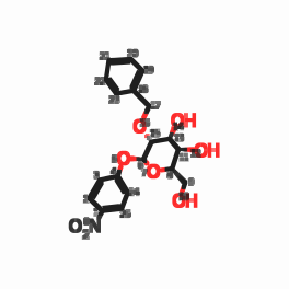 O=[N+]([O-])c1ccc(O[C@@H]2O[C@H](CO)[C@H](O)[C@H](O)[C@H]2OCc2ccccc2)cc1